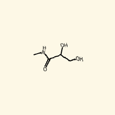 CNC(=O)C(O)CO